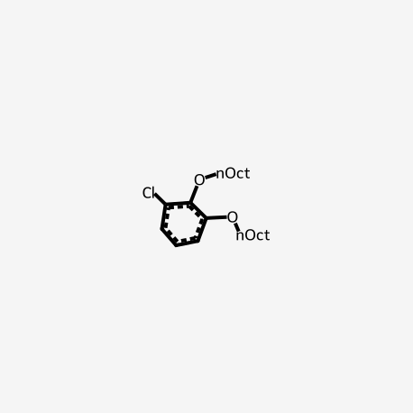 CCCCCCCCOc1cccc(Cl)c1OCCCCCCCC